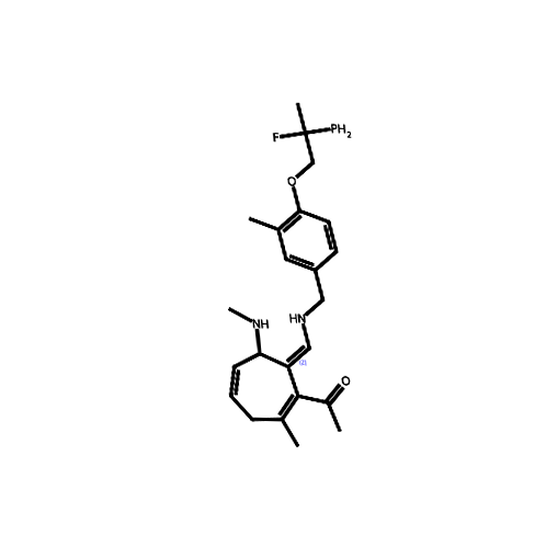 CNC1C=CCC(C)=C(C(C)=O)/C1=C/NCc1ccc(OCC(C)(F)P)c(C)c1